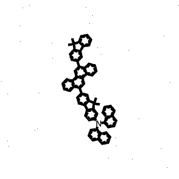 CC1(C)c2ccccc2-c2cc(-c3cc4c5ccccc5c(-c5ccc6c(c5)C(C)(C)c5cc(N(c7cccc8ccccc78)c7cccc8ccccc78)ccc5-6)cc4c4ccccc34)ccc21